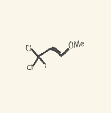 COC=CC(Cl)(Cl)I